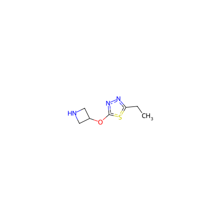 CCc1nnc(OC2CNC2)s1